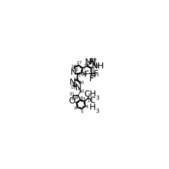 CC(C)c1cccc2c1[C@H](Cn1cnc(-c3cc(-c4nn[nH]c4C(F)(F)F)ccn3)c1)CO2